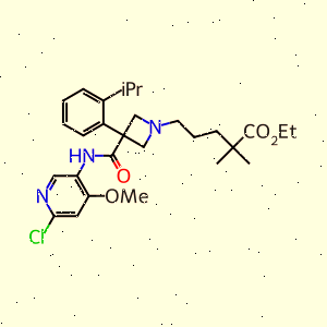 CCOC(=O)C(C)(C)CCCN1CC(C(=O)Nc2cnc(Cl)cc2OC)(c2ccccc2C(C)C)C1